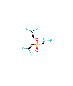 O=P(C=C(F)F)(C=C(F)F)OC=C(F)F